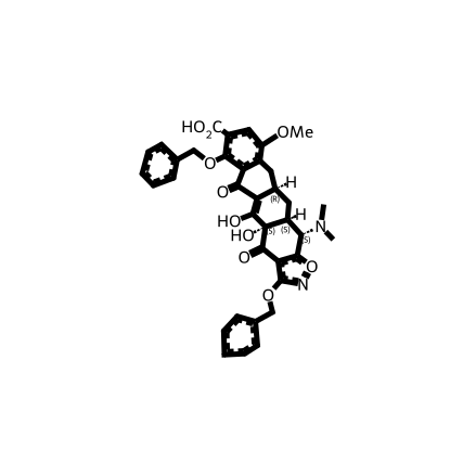 COc1cc(C(=O)O)c(OCc2ccccc2)c2c1C[C@H]1C[C@H]3[C@H](N(C)C)c4onc(OCc5ccccc5)c4C(=O)[C@@]3(O)C(O)=C1C2=O